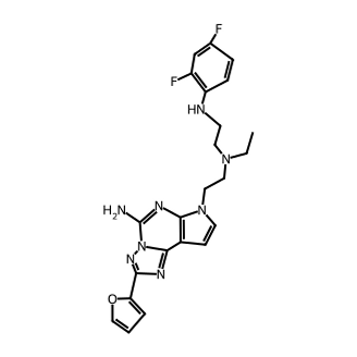 CCN(CCNc1ccc(F)cc1F)CCn1ccc2c1nc(N)n1nc(-c3ccco3)nc21